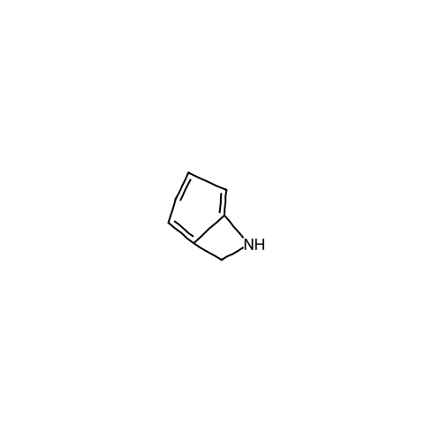 c1ccc2c(c1)CN2